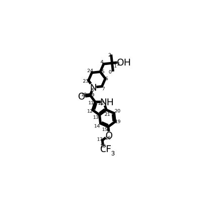 CC(C)(O)CC1CCN(C(=O)c2cc3cc(OCC(F)(F)F)ccc3[nH]2)CC1